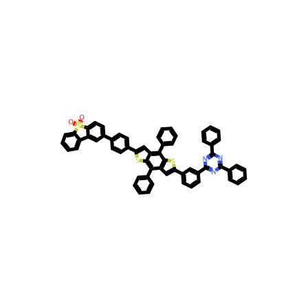 O=S1(=O)c2ccccc2-c2cc(-c3ccc(-c4cc5c(-c6ccccc6)c6sc(-c7cccc(-c8nc(-c9ccccc9)nc(-c9ccccc9)n8)c7)cc6c(-c6ccccc6)c5s4)cc3)ccc21